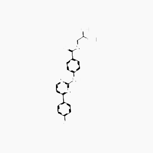 CC(O)CNC(=O)c1ccc(Nc2nccc(-c3ccc(Cl)cc3)n2)cc1